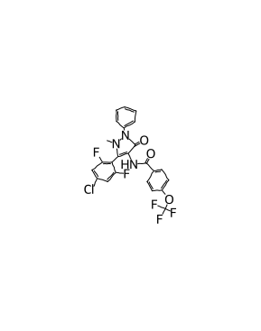 Cn1c(-c2c(F)cc(Cl)cc2F)c(NC(=O)c2ccc(OC(F)(F)F)cc2)c(=O)n1-c1ccccc1